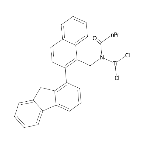 CCCC(=O)[N](Cc1c(-c2cccc3c2Cc2ccccc2-3)ccc2ccccc12)[Ti]([Cl])[Cl]